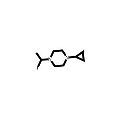 CC(I)N1CCN(C2CC2)CC1